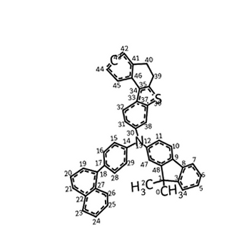 CC1(C)c2ccccc2-c2ccc(N(c3ccc(-c4cccc5ccccc45)cc3)c3ccc4c5c(sc4c3)CCc3ccccc3-5)cc21